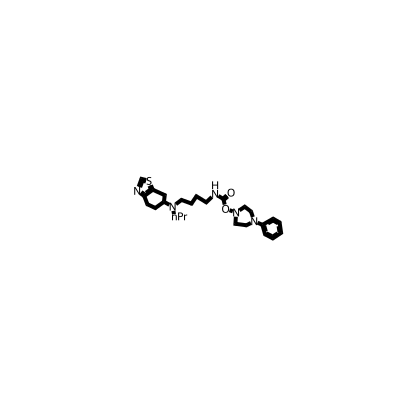 CCCN(CCCCNC(=O)ON1CCN(c2ccccc2)CC1)C1CCc2ncsc2C1